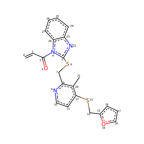 C=CC(=O)n1c(SCc2nccc(SCc3ccco3)c2C)nc2ccccc21